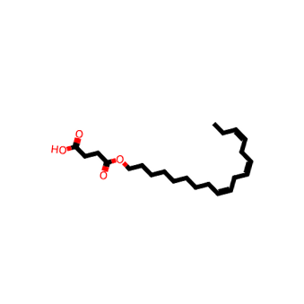 CC/C=C\C/C=C\C/C=C\CCCCCCCCOC(=O)CCC(=O)O